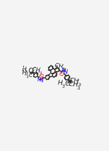 Cc1cc(-c2nnc(-c3ccc(C(C)(C)C)cc3)o2)ccc1-c1ccccc1C1c2ccccc2-c2ccc(-c3nnc(-c4ccc(C(C)(C)C)cc4)o3)cc21